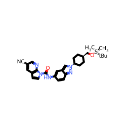 CC(C)(C)[Si](C)(C)OC[C@H]1CC[C@H](n2cc3cc(NC(=O)n4ccc5cc(C#N)cnc54)ccc3n2)CC1